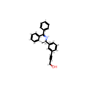 C[C@@H](N=C(c1ccccc1)c1ccccc1)c1cccc(C#CCO)c1